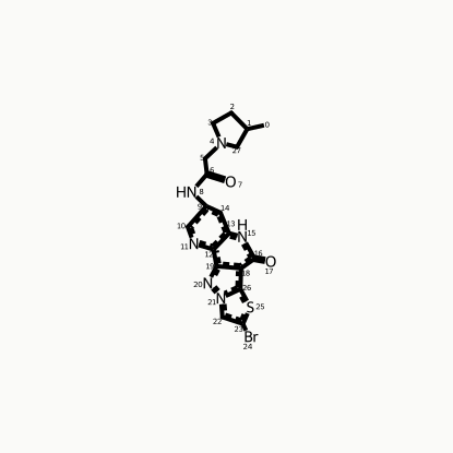 CC1CCN(CC(=O)Nc2cnc3c(c2)[nH]c(=O)c2c3nn3cc(Br)sc23)C1